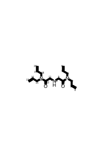 C=CCN(CC=C)C(=O)CNCC(=O)N(CC=C)CC=C